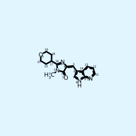 CN1C(=O)C(=Cc2c[nH]c3ncccc23)N=C1C1CCOCC1